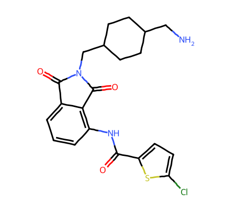 NCC1CCC(CN2C(=O)c3cccc(NC(=O)c4ccc(Cl)s4)c3C2=O)CC1